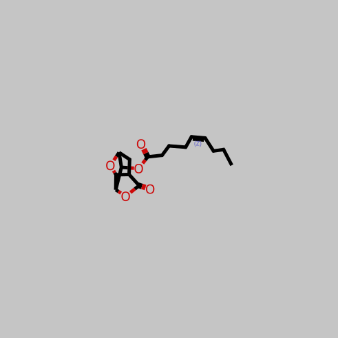 CCC/C=C\CCCC(=O)OC1C2CC3C(=O)OC1C3O2